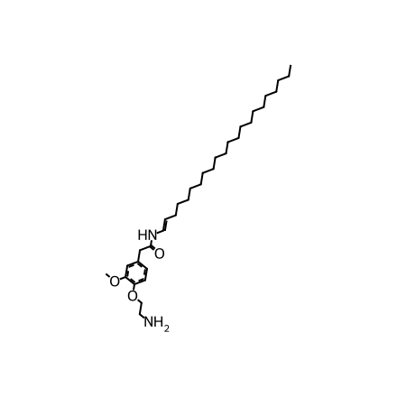 CCCCCCCCCCCCCCCCCCCCC=CNC(=O)Cc1ccc(OCCN)c(OC)c1